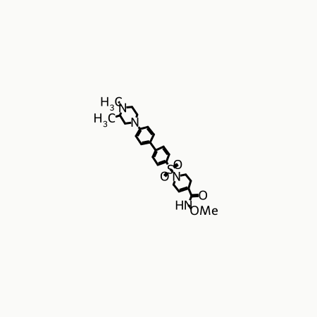 CONC(=O)C1=CCN(S(=O)(=O)c2ccc(-c3ccc(N4CCN(C)C(C)C4)cc3)cc2)CC1